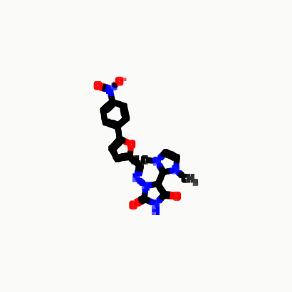 CN1C=CN(C)C1C1C(=O)NC(=O)N1N=Cc1ccc(-c2ccc([N+](=O)[O-])cc2)o1